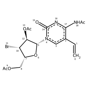 C=Cc1cn([C@@H]2O[C@H](COC(C)=O)[C@H](Br)[C@H]2OC(C)=O)c(=O)nc1NC(C)=O